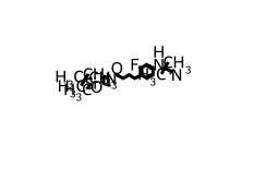 CC(C)(C#N)Nc1ccc(CCCC(=O)N2CC(O[Si](C)(C)C(C)(C)C)C2)c(F)c1